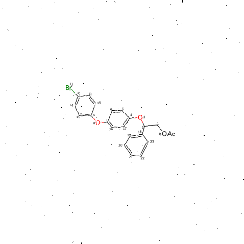 CC(=O)OCC(Oc1ccc(Oc2ccc(Br)cc2)cc1)c1ccccc1